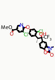 COC(=O)c1cnc(Oc2ccc([C@@H](C)[C@@](O)(c3ccc4oc(=O)n(C)c4c3)C(F)(F)F)c(Cl)c2)c(Cl)c1